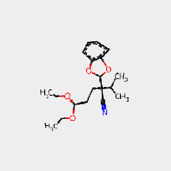 CCOC(CCC(C#N)(C(C)C)C1Oc2ccccc2O1)OCC